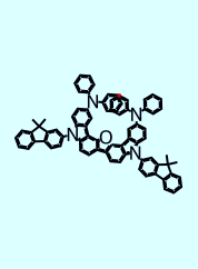 CC1(C)c2ccccc2-c2ccc(-n3c4ccc(N(c5ccccc5)c5ccccc5)cc4c4c5oc6c(ccc7c6c6cc(N(c8ccccc8)c8ccccc8)ccc6n7-c6ccc7c(c6)C(C)(C)c6ccccc6-7)c5ccc43)cc21